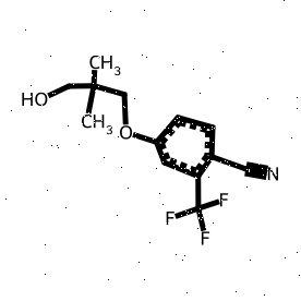 CC(C)(CO)COc1ccc(C#N)c(C(F)(F)F)c1